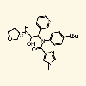 CC(C)(C)c1ccc(N(C(=O)c2c[nH]cn2)C(c2cccnc2)C(O)N[C@@H]2CCOC2)cc1